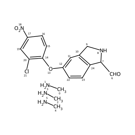 CN.CN.CN.O=CC1NCc2cc(Oc3ccc([N+](=O)[O-])cc3Cl)ccc21